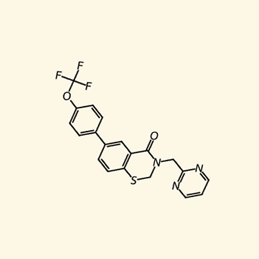 O=C1c2cc(-c3ccc(OC(F)(F)F)cc3)ccc2SCN1Cc1ncccn1